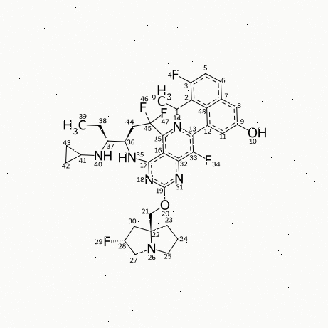 CCc1c(F)ccc2cc(O)cc(-c3nc4c5c(nc(OC[C@@]67CCCN6C[C@H](F)C7)nc5c3F)N[C@@H]([C@H](CC)NC3CC3)CC4(F)F)c12